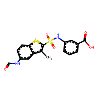 Cc1c(S(=O)(=O)Nc2cccc(C(=O)O)c2)sc2ccc(NC=O)cc12